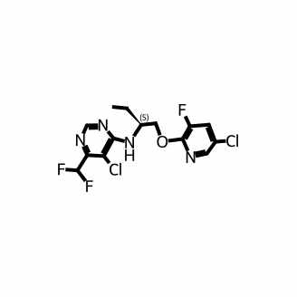 CC[C@@H](COc1ncc(Cl)cc1F)Nc1ncnc(C(F)F)c1Cl